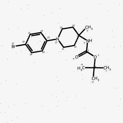 CC1(NC(=O)OC(C)(C)C)CCN(c2ccc(Br)cc2)CC1